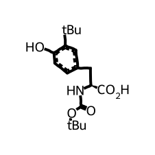 CC(C)(C)OC(=O)N[C@@H](Cc1ccc(O)c(C(C)(C)C)c1)C(=O)O